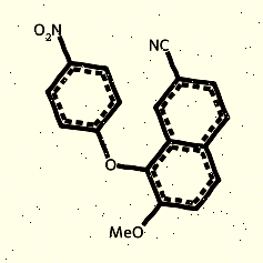 COc1ccc2ccc(C#N)cc2c1Oc1ccc([N+](=O)[O-])cc1